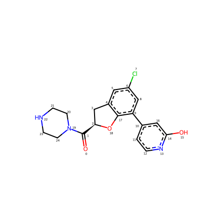 O=C([C@H]1Cc2cc(Cl)cc(-c3ccnc(O)c3)c2O1)N1CCNCC1